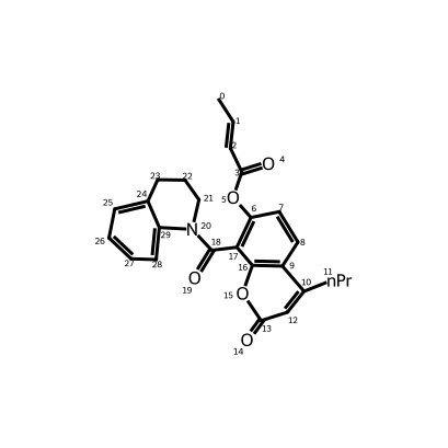 CC=CC(=O)Oc1ccc2c(CCC)cc(=O)oc2c1C(=O)N1CCCc2ccccc21